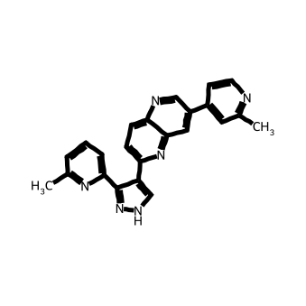 Cc1cc(-c2cnc3ccc(-c4c[nH]nc4-c4cccc(C)n4)nc3c2)ccn1